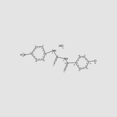 Cl.Nc1ccc(NC(=S)NC(=O)c2ccc(Cl)cc2)cc1